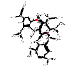 O=[N+]([O-])c1cc([N+](=O)[O-])c(Nc2nc([N+](=O)[O-])c([N+](=O)[O-])c([N+](=O)[O-])c2Nc2c([N+](=O)[O-])cc([N+](=O)[O-])cc2[N+](=O)[O-])c([N+](=O)[O-])c1